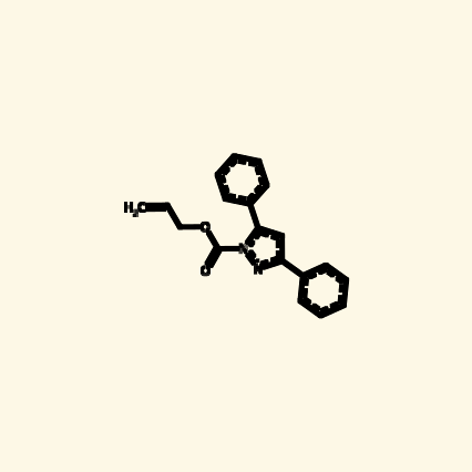 C=CCOC(=O)n1nc(-c2ccccc2)cc1-c1ccccc1